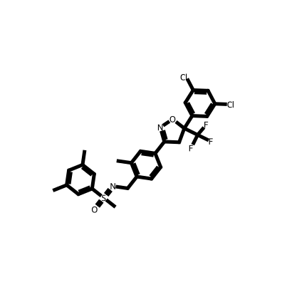 Cc1cc(C)cc(S(C)(=O)=NCc2ccc(C3=NOC(c4cc(Cl)cc(Cl)c4)(C(F)(F)F)C3)cc2C)c1